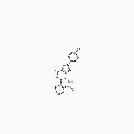 CC(OC1=c2ccccc2=C(Cl)NC1)c1cn(-c2ccc(Cl)cc2)nn1